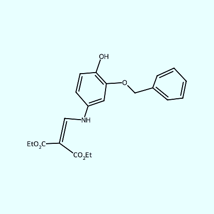 CCOC(=O)C(=CNc1ccc(O)c(OCc2ccccc2)c1)C(=O)OCC